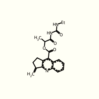 C=C1CCc2c1nc1ccccc1c2C(=O)OC(C)C(=O)NC(=O)NCC